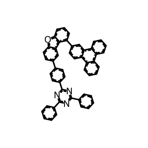 c1ccc(-c2nc(-c3ccccc3)nc(-c3ccc(-c4ccc5oc6cccc(-c7ccc8c9ccccc9c9ccccc9c8c7)c6c5c4)cc3)n2)cc1